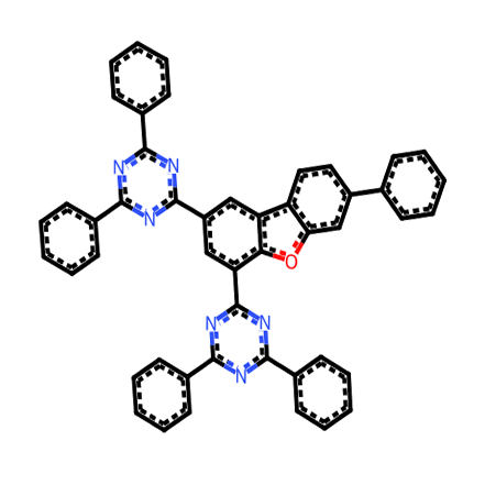 c1ccc(-c2ccc3c(c2)oc2c(-c4nc(-c5ccccc5)nc(-c5ccccc5)n4)cc(-c4nc(-c5ccccc5)nc(-c5ccccc5)n4)cc23)cc1